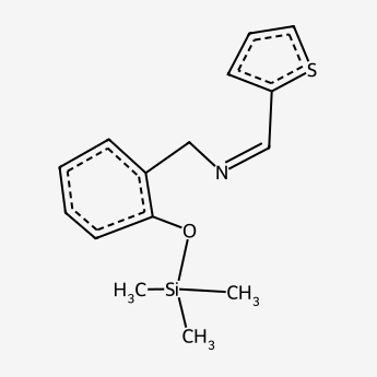 C[Si](C)(C)Oc1ccccc1C/N=C\c1cccs1